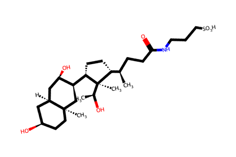 C[C@H](CCC(=O)NCCCS(=O)(=O)O)[C@H]1CC[C@@H]([C@H]2C[C@@]3(C)CC[C@@H](O)C[C@H]3C[C@H]2O)[C@]1(C)[C@H](C)O